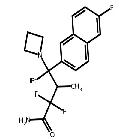 CC(C)C(c1ccc2cc(F)ccc2c1)(C(C)C(F)(F)C(N)=O)N1CCC1